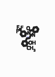 Cc1cccc(/C=C/c2nc3ccccc3c(=O)n2-c2cccc(C(F)(F)F)c2)c1O